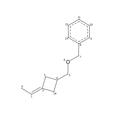 CC=C1CC(COCc2ccccc2)C1